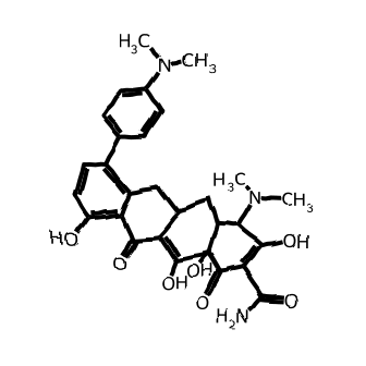 CN(C)c1ccc(-c2ccc(O)c3c2CC2CC4C(N(C)C)C(O)=C(C(N)=O)C(=O)C4(O)C(O)=C2C3=O)cc1